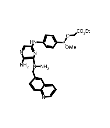 CCOC(=O)COP(OC)c1ccc(Nc2cnc(N)c(N(N)Cc3ccc4ncccc4c3)n2)cc1